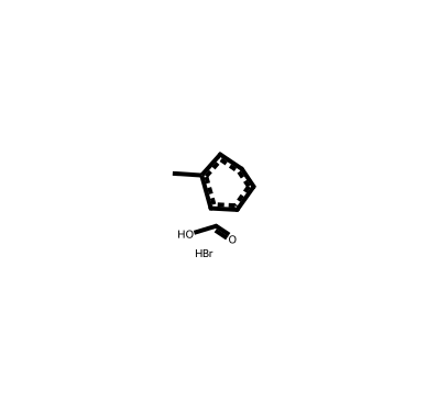 Br.Cc1ccccc1.O=CO